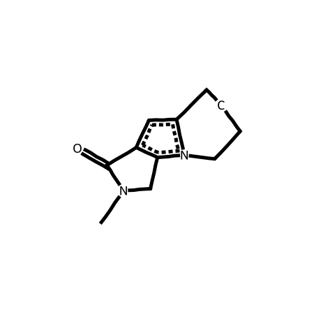 CN1Cc2c(cc3n2CCCC3)C1=O